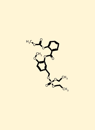 CCOP(=O)(OCC)OCc1ccc(OC)c(OC(=O)c2ccccc2OC(=O)OC)c1